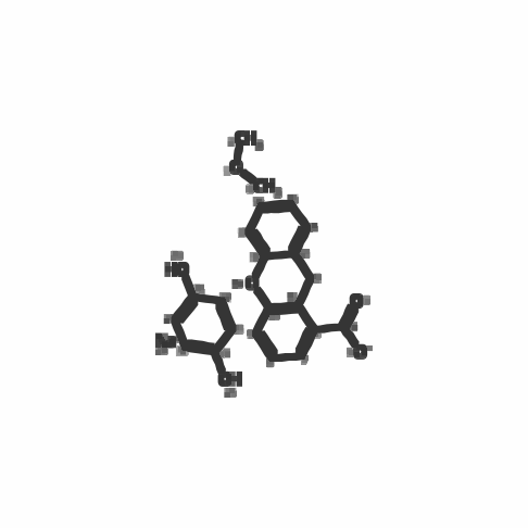 COC.O=C([O-])c1cccc2c1Cc1ccccc1O2.Oc1ccc(O)cc1.[Na+]